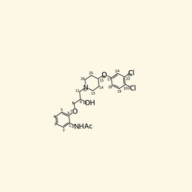 CC(=O)Nc1ccccc1OCC(O)CN1CCC(Oc2ccc(Cl)c(Cl)c2)CC1